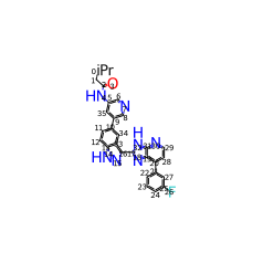 CC(C)CC(=O)Nc1cncc(-c2ccc3[nH]nc(-c4nc5c(-c6cccc(F)c6)ccnc5[nH]4)c3c2)c1